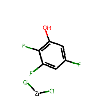 Oc1cc(F)cc(F)c1F.[Cl][Zr][Cl]